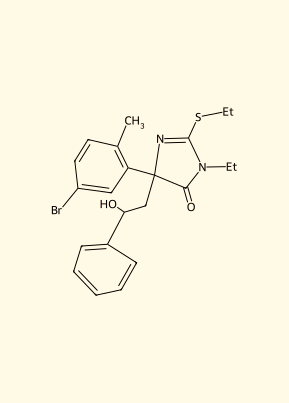 CCSC1=NC(CC(O)c2ccccc2)(c2cc(Br)ccc2C)C(=O)N1CC